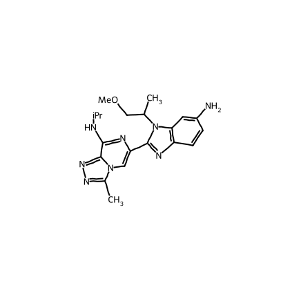 COCC(C)n1c(-c2cn3c(C)nnc3c(NC(C)C)n2)nc2ccc(N)cc21